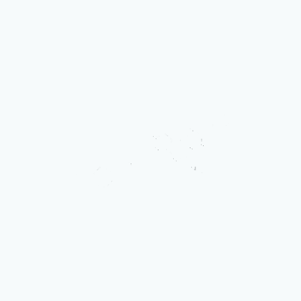 Cc1ccc2c(c1)CN(CCn1ncc3c1nc(N)n1nc(-c4ccco4)nc31)CC2